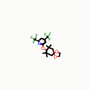 CC1(C)CC2(CC(C)(C)C1Oc1cc(C(F)(F)F)cc(C(F)(F)F)n1)OCCO2